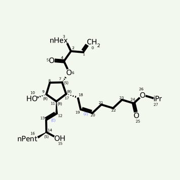 C=CC(CCCCCC)C(=O)O[C@H]1C[C@@H](O)[C@H](/C=C/[C@@H](O)CCCCC)[C@H]1C/C=C\CCCC(=O)OC(C)C